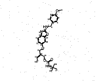 COc1ccc(CNc2nc3ccc(OC/C(=C/F)COC(=O)NC(C)(C)C)cc3o2)cn1